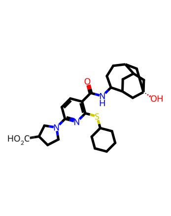 O=C(NC1CCC2C[C@@]3(O)CC2CC1C3)c1ccc(N2CCC(C(=O)O)C2)nc1SC1CCCCC1